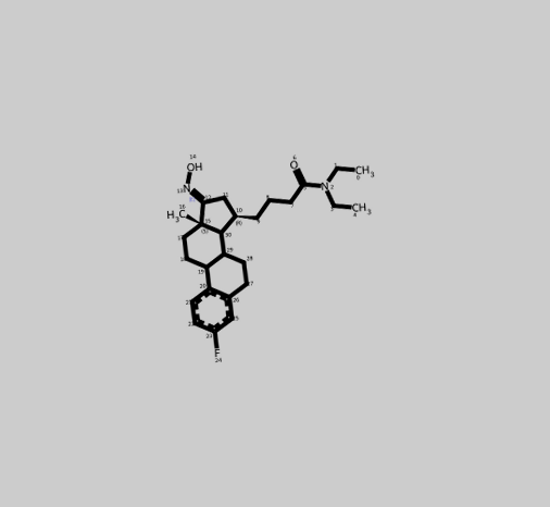 CCN(CC)C(=O)CCC[C@@H]1C/C(=N\O)[C@@]2(C)CCC3c4ccc(F)cc4CCC3C12